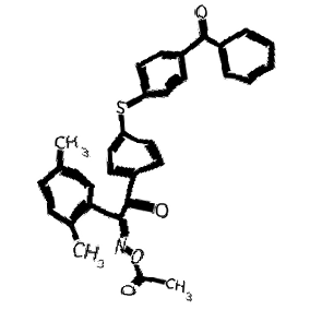 CC(=O)O/N=C(\C(=O)c1ccc(Sc2ccc(C(=O)c3ccccc3)cc2)cc1)c1cc(C)ccc1C